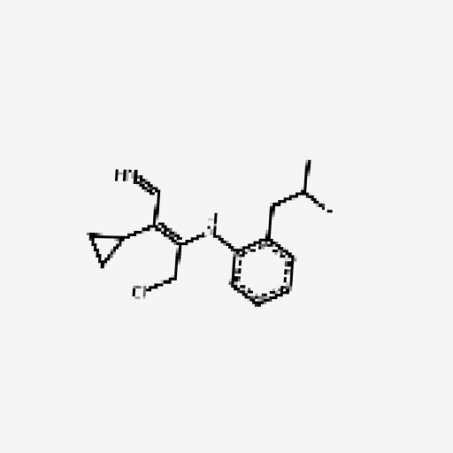 CC(F)Cc1ccccc1N/C(CCl)=C(\C=N)C1CC1